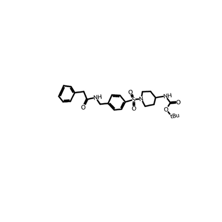 CC(C)(C)OC(=O)NC1CCN(S(=O)(=O)c2ccc(CNC(=O)Cc3ccccc3)cc2)CC1